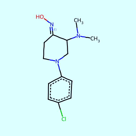 CN(C)C1CN(c2ccc(Cl)cc2)CC/C1=N\O